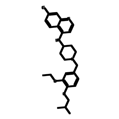 CCOc1cc(CN2CCC(Nc3ccnc4cc(Cl)ccc34)CC2)ccc1OCC(C)C